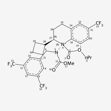 CCCOC(=O)[N@+]1(N(Cc2cc(C(F)(F)F)cc(C(F)(F)F)c2)C(=O)OC)c2ccc(C(F)(F)F)cc2CC[C@@H]1C1CCC1